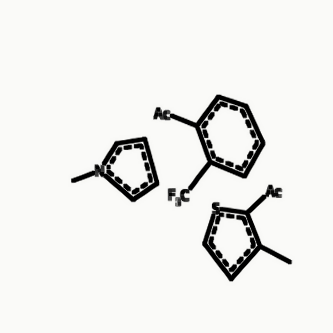 CC(=O)c1ccccc1C(F)(F)F.CC(=O)c1sccc1C.Cn1cccc1